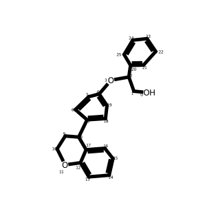 OCC(Oc1ccc(C2CCOc3ccccc32)cc1)c1ccccc1